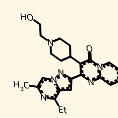 CCc1nc(C)cn2nc(-c3nc4ccccn4c(=O)c3C3CCN(CCO)CC3)cc12